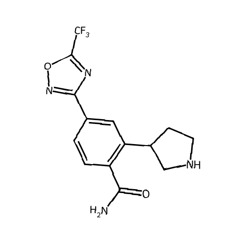 NC(=O)c1ccc(-c2noc(C(F)(F)F)n2)cc1C1CCNC1